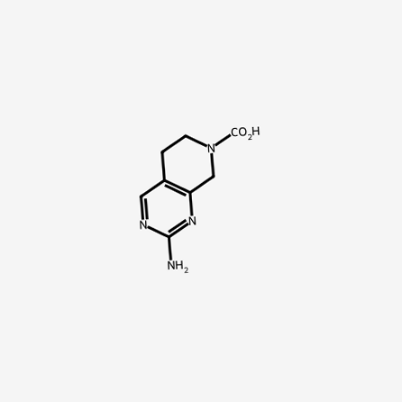 Nc1ncc2c(n1)CN(C(=O)O)CC2